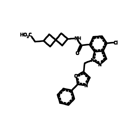 O=C(O)CC1CC2(C1)CC(NC(=O)c1ccc(Cl)c3cnn(Cc4cnc(-c5ccccc5)o4)c13)C2